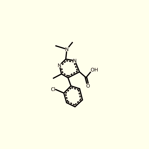 Cc1nc(N(C)C)nc(C(=O)O)c1-c1ccccc1Cl